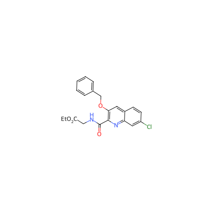 CCOC(=O)CNC(=O)c1nc2cc(Cl)ccc2cc1OCc1ccccc1